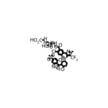 CC(C)OC(=O)c1cc(-c2nn(C)c(C(F)(F)F)c2Br)c(F)cc1Cl.CS(=O)(=O)c1ccc(C(=O)C2C(=O)CCCC2=O)c([N+](=O)[O-])c1.O=C(O)CNCP(=O)(O)O